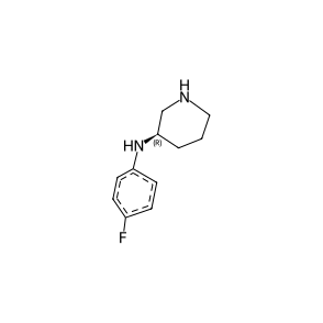 Fc1ccc(N[C@@H]2CCCNC2)cc1